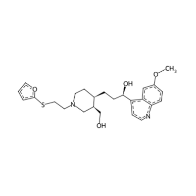 COc1ccc2nccc([C@H](O)CC[C@@H]3CCN(CCSc4ccco4)C[C@@H]3CO)c2c1